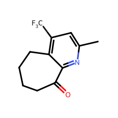 Cc1cc(C(F)(F)F)c2c(n1)C(=O)CCCC2